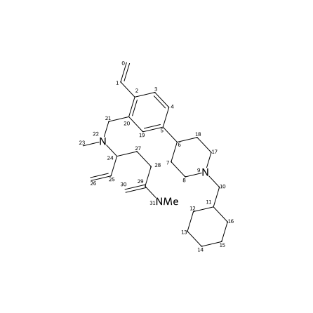 C=Cc1ccc(C2CCN(CC3CCCCC3)CC2)cc1CN(C)C(C=C)CCC(=C)NC